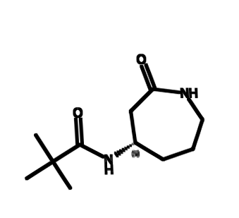 CC(C)(C)C(=O)N[C@H]1CCCNC(=O)C1